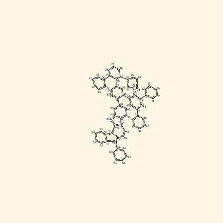 c1ccc(-c2nc(-c3ccccc3)nc(-c3cc(-c4c(-c5ccccc5)cccc4-c4ccccc4)cnc3-c3ccc4c(c3)sc3c4ccc4c3c3ccccc3n4-c3ccccc3)n2)cc1